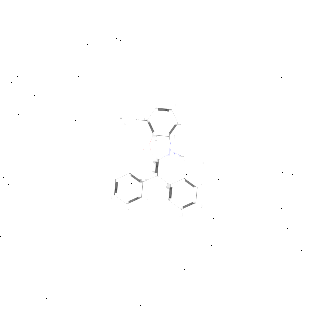 Cc1cccc2c1OC(=C(c1ccccc1)c1ccccc1)N2C